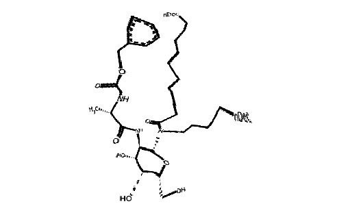 CCCCCCCCCCCCCCCCCC(=O)N(CCCCCCCCCCCCCC)[C@@H]1O[C@H](CO)[C@H](O)[C@H](O)[C@H]1NC(=O)[C@H](C)NC(=O)OCc1ccccc1